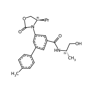 Cc1ccc(-c2cc(C(=O)N[C@@H](C)CO)cc(N3C(=O)OC[C@H]3C(C)C)c2)cc1